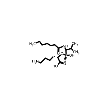 CCCCCCC(=O)NC(C(C)C)P(=O)(O)O[C@@H](CCCCN)C(=O)O